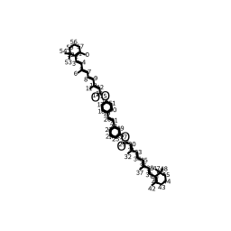 CC1=C(/C=C/C(C)=C/C=C/C(C)=C/C(=O)Oc2ccc(/C=C/c3c[c]cc(OC(=O)/C=C(C)/C=C/C=C(C)/C=C/C4=C(C)CCCC4(C)C)c3)cc2)C(C)(C)CCC1